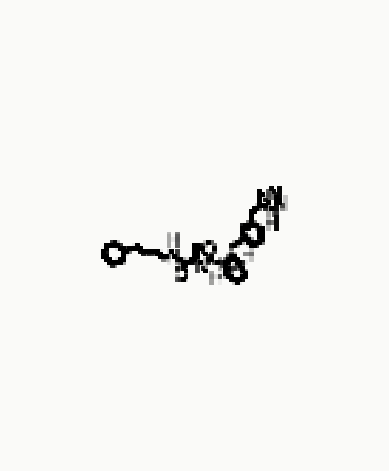 O=C(NCCCCC1CCCCC1)c1coc([C@H]2[C@@H](Cc3cccc(Cc4nnn[nH]4)c3)[C@@H]3CC[C@@H]2O3)n1